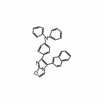 c1ccc(N(c2ccccc2)c2ccc(-c3nc4occn4c3-c3ccc4ccccc4c3)cc2)cc1